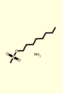 CCCCCCCCOS(C)(=O)=O.N